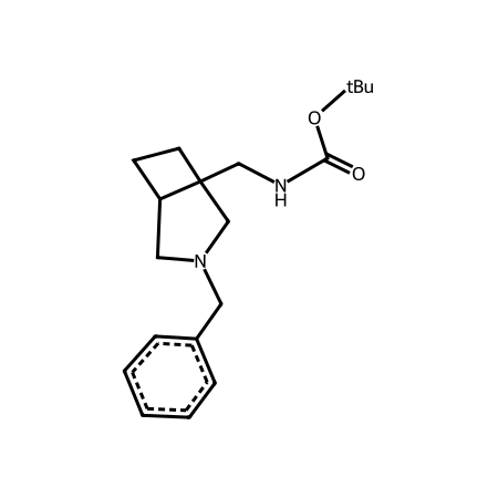 CC(C)(C)OC(=O)NCC12CCC1CN(Cc1ccccc1)C2